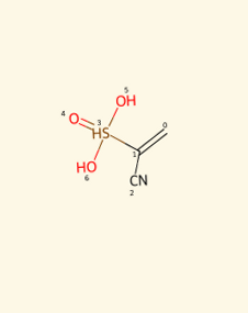 C=C(C#N)[SH](=O)(O)O